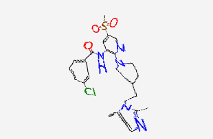 Cc1cnc(C)n1CCC1CCN(c2ncc(S(C)(=O)=O)cc2NC(=O)c2cccc(Cl)c2)CC1